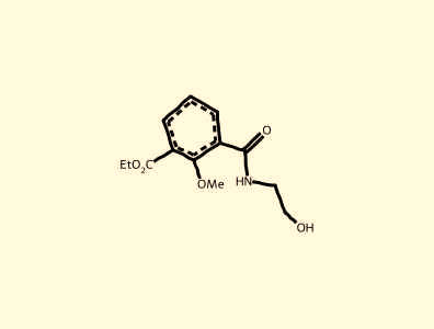 CCOC(=O)c1cccc(C(=O)NCCO)c1OC